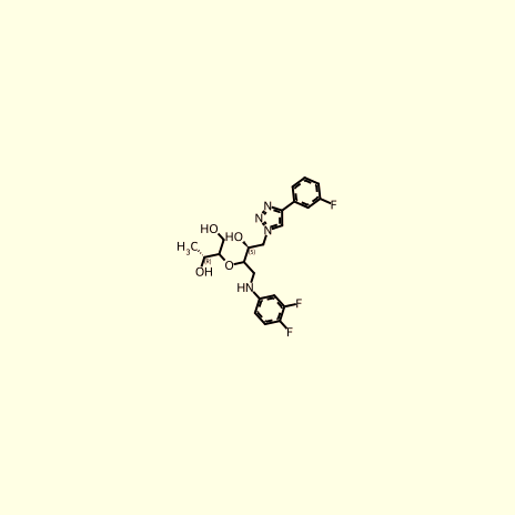 C[C@@H](O)C(CO)OC(CNc1ccc(F)c(F)c1)[C@@H](O)Cn1cc(-c2cccc(F)c2)nn1